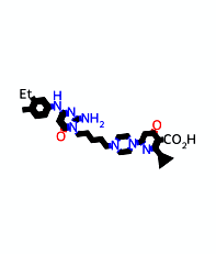 CCc1cc(Nc2cc(=O)n(CCCCCN3CCN(C4=NC(C5CC5)=C(C(=O)O)C(=O)C4)CC3)c(N)n2)ccc1C